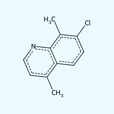 Cc1ccnc2c(C)c(Cl)ccc12